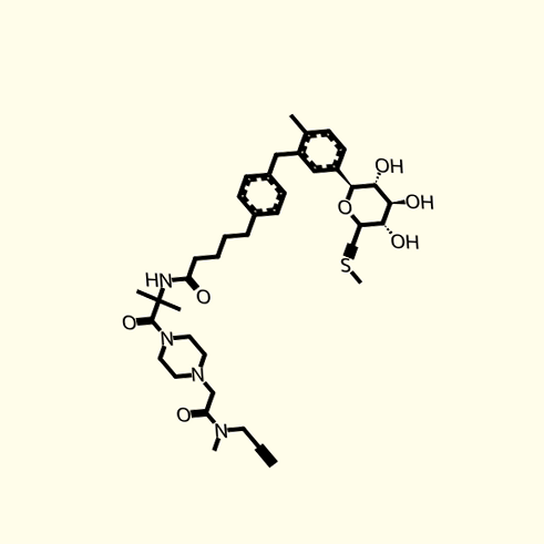 C#CCN(C)C(=O)CN1CCN(C(=O)C(C)(C)NC(=O)CCCCc2ccc(Cc3cc([C@@H]4OC(C#SC)[C@@H](O)[C@H](O)[C@H]4O)ccc3C)cc2)CC1